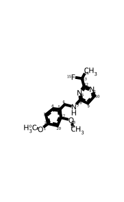 COc1ccc(CNc2ccnc(C(C)F)n2)c(OC)c1